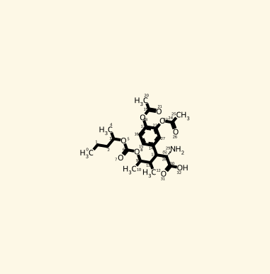 CCCC(C)OC(=O)OC(C)C(C)C(c1ccc(OC(C)=O)c(OC(C)=O)c1)[C@H](N)C(=O)O